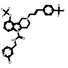 O=C(NCc1ccnc(Cl)c1)n1c2c(c3c(OC(F)(F)F)cccc31)CN(CC=Cc1ccc(C(F)(F)F)cc1)CC2